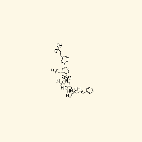 CCc1cc(-c2cccc(CCC(=O)O)n2)ccc1S(=O)(=O)N(C)C[C@H](O)CNC(C)(C)CCCc1ccccc1